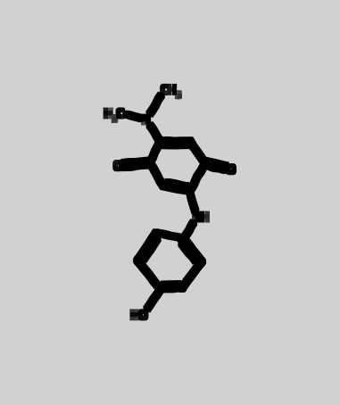 CN(C)C1=CC(=O)C(Nc2ccc(O)cc2)=CC1=O